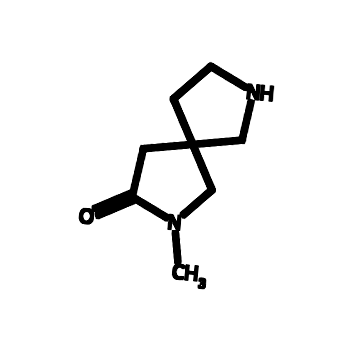 CN1CC2(CCNC2)CC1=O